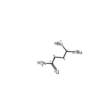 CCCCC(CCCC)CCC(N)=O